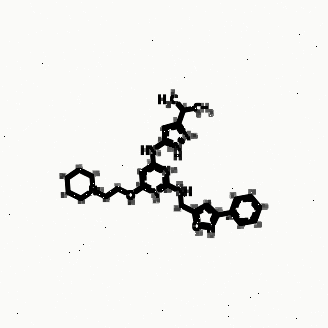 CC(C)c1cc(Nc2cc(OCCN3CCCCC3)nc(NCc3cc(-c4ccccc4)no3)n2)[nH]n1